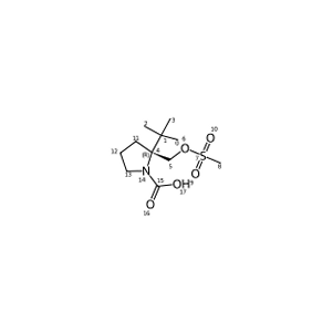 CC(C)(C)[C@@]1(COS(C)(=O)=O)CCCN1C(=O)O